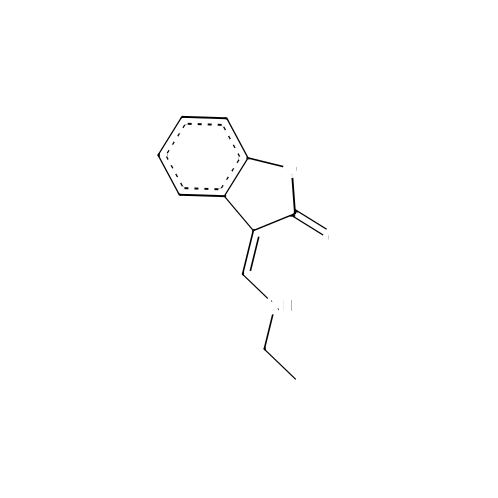 CCNC=C1C(=O)Oc2ccccc21